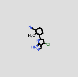 Cc1c(C#N)cccc1-c1cc(Cl)c2cn[nH]c2n1